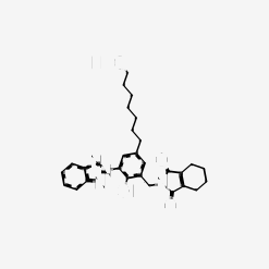 CCCCCCCCc1cc(CN2C(=O)C3=C(CCCC3)C2=O)c(O)c(-n2nc3ccccc3n2)c1